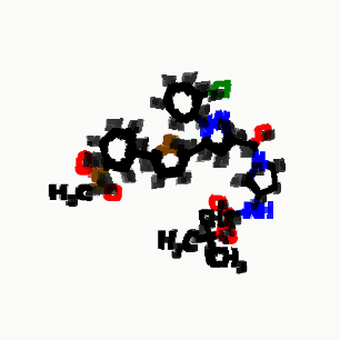 CC(C)(C)OC(=O)NC1CCN(C(=O)c2cc(-c3ccc(-c4cccc(S(C)(=O)=O)c4)s3)n(-c3ccccc3Cl)n2)C1